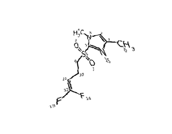 Cc1cn(C)c(S(=O)(=O)CCC=C(F)F)n1